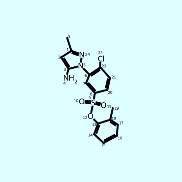 Cc1cc(N)n(-c2cc(S(=O)(=O)Oc3ccccc3C)ccc2Cl)n1